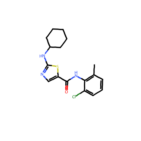 Cc1cccc(Cl)c1NC(=O)c1cnc(NC2CCCCC2)s1